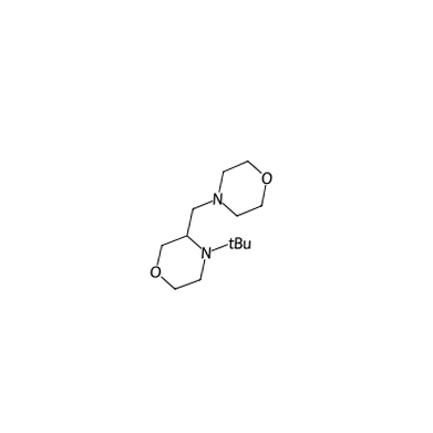 CC(C)(C)N1CCOCC1CN1CCOCC1